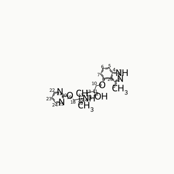 Cc1n[nH]c2cccc(OC[C@@H](O)CNC(C)(C)COc3ncccn3)c12